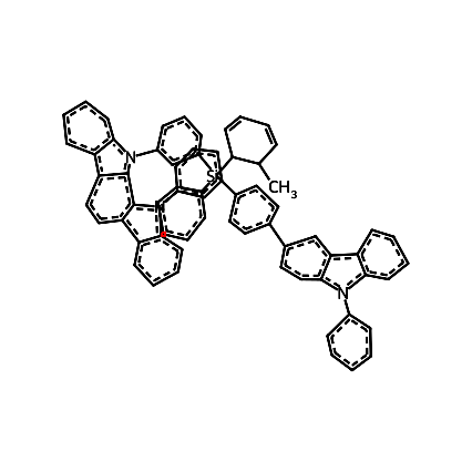 CC1C=CC=CC1[Si](c1ccccc1)(c1ccc(-c2ccc3c(c2)c2ccccc2n3-c2ccccc2)cc1)c1cccc(-n2c3ccccc3c3ccc4c5ccccc5n(-c5ccccc5)c4c32)c1